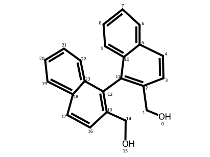 OCc1ccc2ccccc2c1-c1c(CO)ccc2ccccc12